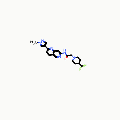 Cn1cc(-c2ccc3cnc(NC(=O)CN4CCC(C(F)F)CC4)cc3n2)cn1